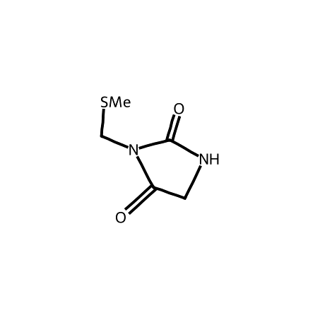 CSCN1C(=O)CNC1=O